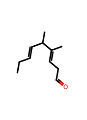 CCC=CC(C)C(C)=CC[C]=O